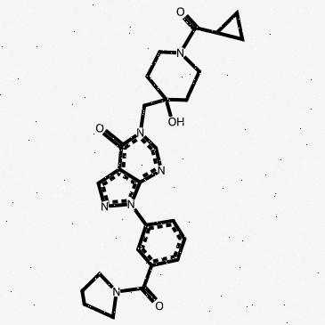 O=C(c1cccc(-n2ncc3c(=O)n(CC4(O)CCN(C(=O)C5CC5)CC4)cnc32)c1)N1CCCC1